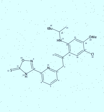 C=C(Cc1cccc(-c2noc(=S)[nH]2)n1)c1cc(Cl)c(OC)cc1NC(C)C(C)(C)C